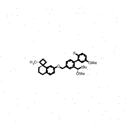 COc1ccc(F)c(-c2ccc(COc3ccc4c(c3)[C@@]3(CCC4)CC[C@H]3C)cc2[C@@H](OC)C(C)(C)C)c1